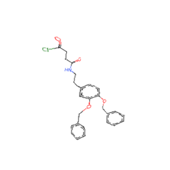 O=C(Cl)CCC(=O)NCCc1ccc(OCc2ccccc2)c(OCc2ccccc2)c1